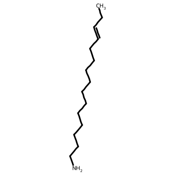 CCC=CCCCCCCCCCCCN